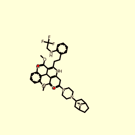 COC(=O)C1=C(CCc2ccccc2NCC(F)(F)F)NC(CC(=O)N2CCN(C3CC4CCC(C3)N4C)CC2)=C(C(=O)OC)C1c1c(Cl)cccc1Cl